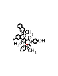 C[C@@H]1Cc2ccccc2CN1C(=O)c1ccc(F)cc1-c1cc(C(=O)N(c2ccc(O)cc2)c2cnn(C)c2)c(CN2CCOCC2)n1C